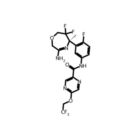 C[C@]1(c2cc(NC(=O)c3cnc(OCC(F)(F)F)cn3)ccc2F)N=C(N)COCC1(F)F